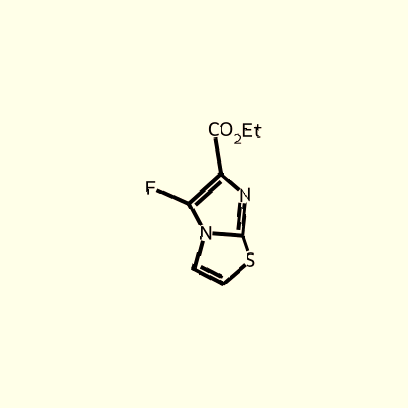 CCOC(=O)c1nc2sccn2c1F